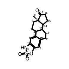 C[C@]12CCC3c4cc5c(cc4CCC3C1CCC2=O)OS(=O)(=O)N5